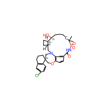 CC1(C)CCCC[C@H](O)[C@@H]2CC[C@H]2CN2C[C@@]3(CCCc4cc(Cl)ccc43)COc3ccc(cc32)C(=O)NS1(=O)=O